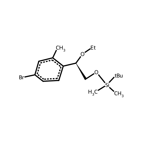 CCO[C@@H](CO[Si](C)(C)C(C)(C)C)c1ccc(Br)cc1C